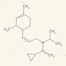 C=C(C1CC1)N(C/C=C\C1CCC(C)=CC1C)C(C)C